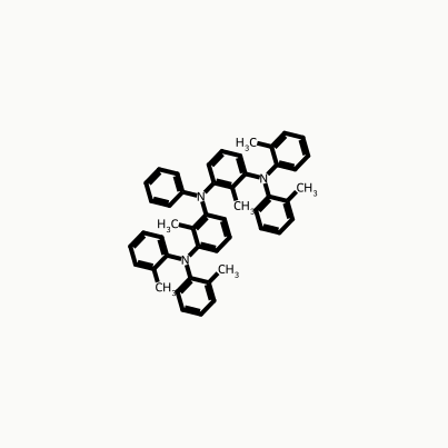 Cc1ccccc1N(c1ccccc1C)c1cccc(N(c2ccccc2)c2cccc(N(c3ccccc3C)c3ccccc3C)c2C)c1C